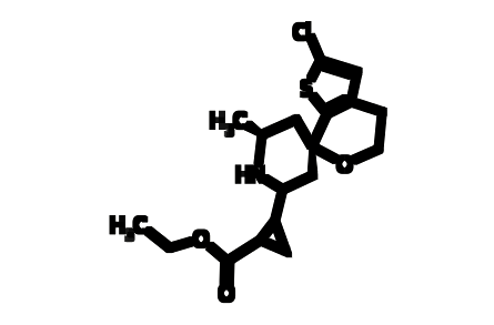 CCOC(=O)C1CC1C1C[C@]2(C[C@H](C)N1)OCCc1cc(Cl)sc12